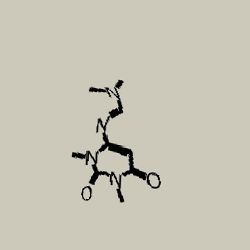 CN(C)C=Nc1cc(=O)n(C)c(=O)n1C